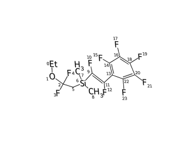 CCOC(F)(F)C[Si](C)(C)C(F)=C(F)c1c(F)c(F)c(F)c(F)c1F